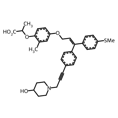 CSc1ccc(/C(=C/COc2ccc(OC(C)C(=O)O)c(C)c2)c2ccc(C#CCN3CCC(O)CC3)cc2)cc1